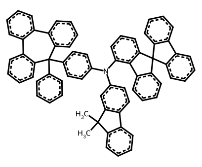 CC1(C)c2ccccc2-c2ccc(N(c3ccc(C4(c5ccccc5)c5ccccc5-c5ccccc5-c5ccccc54)cc3)c3cccc4c3-c3ccccc3C43c4ccccc4-c4ccccc43)cc21